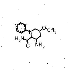 COC1CC(N)C(C(N)=O)N(c2[c]cncc2)C1